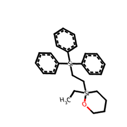 CC[Si]1(CC[Si](c2ccccc2)(c2ccccc2)c2ccccc2)CCCCO1